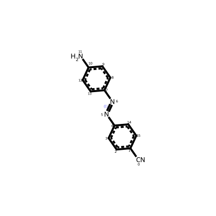 N#Cc1ccc(/N=N/c2ccc(N)cc2)cc1